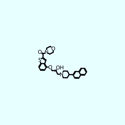 O=C(c1cc2c(OC[C@@H](O)CN3CCC(c4ccc5ccccc5c4)CC3)cccc2s1)N1CCOCC1